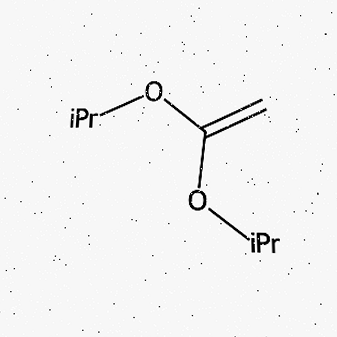 C=C(OC(C)C)OC(C)C